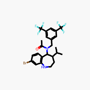 CC(=O)N(Cc1cc(C(F)(F)F)cc(C(F)(F)F)c1)C1c2ccc(Br)cc2NCCC1C(C)C